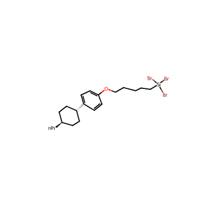 CCC[C@H]1CC[C@H](c2ccc(OCCCCC[Si](Br)(Br)Br)cc2)CC1